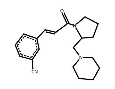 N#Cc1cccc(C=CC(=O)N2CCCC2CN2CCCCC2)c1